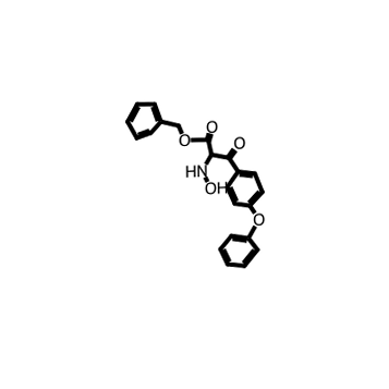 O=C(OCc1ccccc1)C(NO)C(=O)c1ccc(Oc2ccccc2)cc1